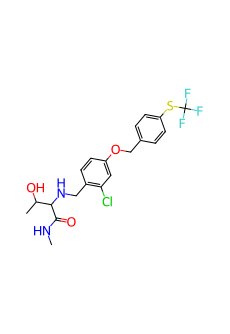 CNC(=O)C(NCc1ccc(OCc2ccc(SC(F)(F)F)cc2)cc1Cl)C(C)O